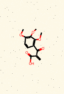 C=C(C(=O)O)C(=O)c1ccc(OC)c(OC)c1OC